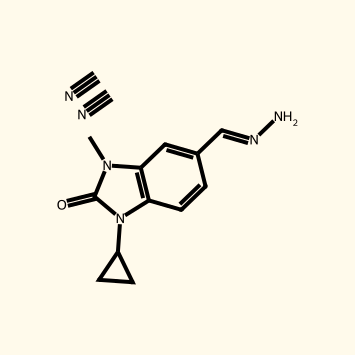 C#N.C#N.Cn1c(=O)n(C2CC2)c2ccc(C=NN)cc21